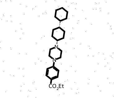 CCOC(=O)c1ccc(N2CCN([C@H]3CC[C@@H](C4CCCCC4)CC3)CC2)cc1